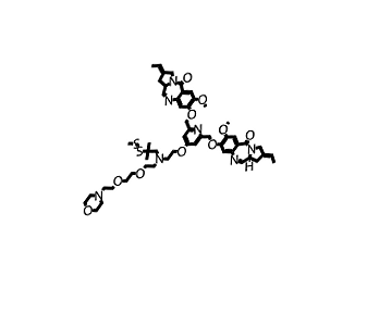 C/C=C1\CC2C=Nc3cc(OCc4cc(OCCN(CCOCCOCCN5CCOCC5)CC(C)(C)SSC)cc(COc5cc6c(cc5OC)C(=O)N5C/C(=C/C)C[C@H]5C=N6)n4)c(OC)cc3C(=O)N2C1